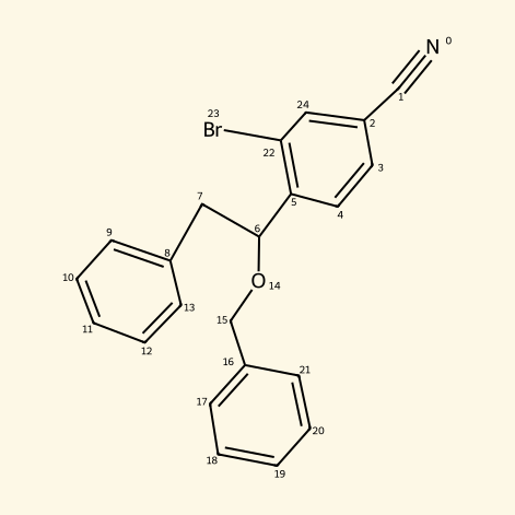 N#Cc1ccc(C(Cc2ccccc2)OCc2ccccc2)c(Br)c1